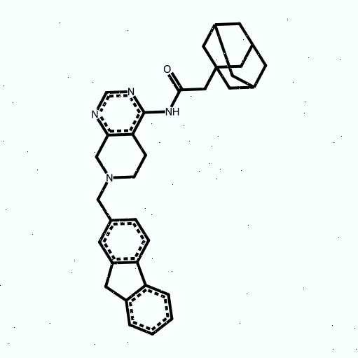 O=C(CC12CC3CC(CC(C3)C1)C2)Nc1ncnc2c1CCN(Cc1ccc3c(c1)Cc1ccccc1-3)C2